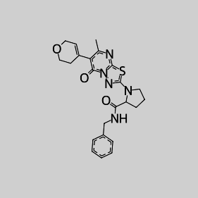 Cc1nc2sc(N3CCCC3C(=O)NCc3ccccc3)nn2c(=O)c1C1=CCOCC1